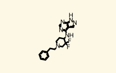 FC1(F)CN(CCc2ccccc2)CCC1Nc1ncnc2[nH]ncc12